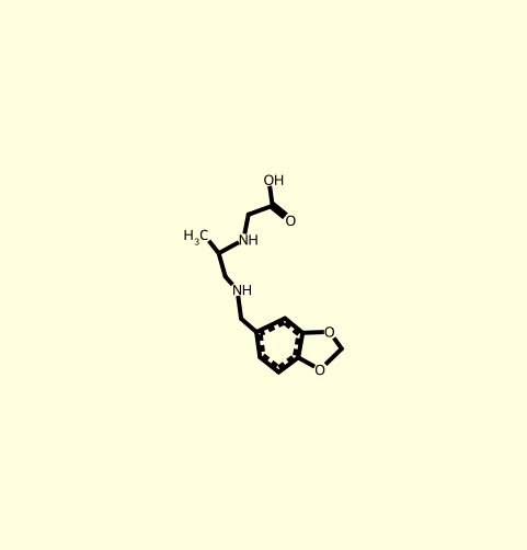 CC(CNCc1ccc2c(c1)OCO2)NCC(=O)O